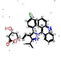 CC(C)c1nn(-c2c3ccccc3nc3ccccc23)c(-c2ccc(F)cc2)c1C=C[C@@H]1C[C@@H](O)CC(=O)O1